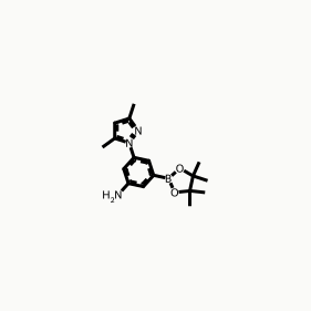 Cc1cc(C)n(-c2cc(N)cc(B3OC(C)(C)C(C)(C)O3)c2)n1